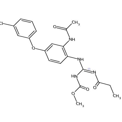 CCC(=O)/N=C(\NC(=O)OC)Nc1ccc(Oc2cccc(Cl)c2)cc1NC(C)=O